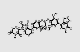 COc1cc(-c2cn(C)c(=O)c3c2CCC3)cc(OC)c1CN1Cc2ccc(-c3cccc4c3n(C)c(=O)n4C3CCC(=O)NC3=O)cc2C(F)(F)C1